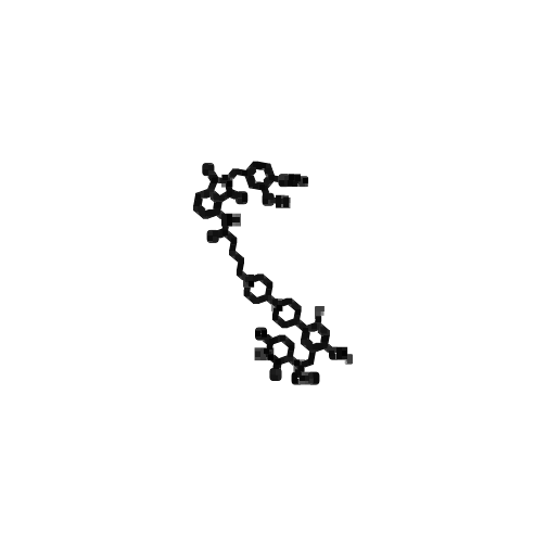 CCOc1cc(CN2C(=O)c3cccc(NC(=O)CCCCN4CCC(N5CCC(c6cc(CN(C=O)C7CCC(=O)NC7=O)c(C)cc6F)CC5)CC4)c3C2=O)ccc1OC